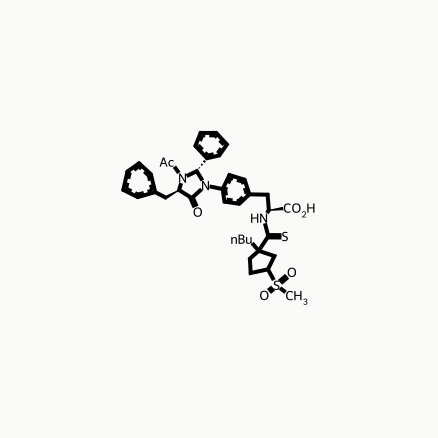 CCCCC1(C(=S)N[C@@H](Cc2ccc(N3C(=O)[C@@H](Cc4ccccc4)N(C(C)=O)[C@@H]3c3ccccc3)cc2)C(=O)O)CCC(S(C)(=O)=O)C1